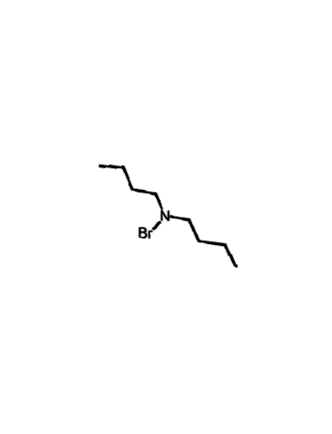 CCCCN(Br)CCCC